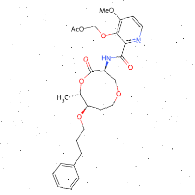 COc1ccnc(C(=O)N[C@H]2COCC[C@@H](OCCCc3ccccc3)[C@H](C)OC2=O)c1OCOC(C)=O